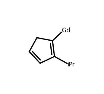 CC(C)C1=[C]([Gd])CC=C1